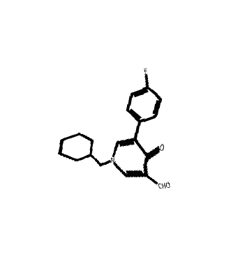 O=Cc1cn(CC2CCCCC2)cc(-c2ccc(F)cc2)c1=O